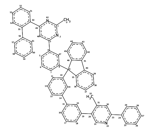 Cc1nc(-c2cccc(C3(c4cccc(-c5cccc(-c6cnc(-c7ccccc7)cc6C)c5)c4)c4ccccc4-c4ccccc43)c2)cc(-c2ccccc2-c2ccccc2)n1